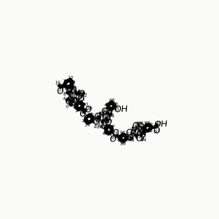 COP1(OC)=NP(OC)(Oc2cccc(C(C)=O)c2)=NP(OC)(Oc2cccc(C(=O)Oc3cccc(OP4(OC)=NP(OC)(Oc5cccc(O)c5)=NP(OC)(Oc5cccc(OC(=O)c6cccc(OP7(OC)=NP(OC)(OC)=NP(OC)(Oc8cccc(C(=O)O)c8)=N7)c6)c5)=N4)c3)c2)=N1